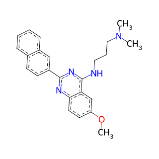 COc1ccc2nc(-c3ccc4ccccc4c3)nc(NCCCN(C)C)c2c1